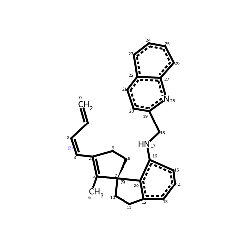 C=C/C=C\C1=C(C)[C@@]2(CC1)CCc1cccc(NCc3ccc4ccccc4n3)c12